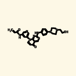 C=CC(=O)Nc1cncc(-n2ccc(=O)c3cnc(Nc4ccc(N5CCN(CCO)CC5)cc4)nc32)c1